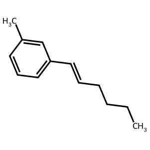 CCCC/C=C/c1cccc(C)c1